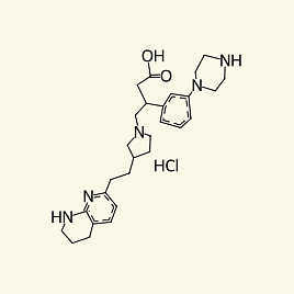 Cl.O=C(O)CC(CN1CCC(CCc2ccc3c(n2)NCCC3)C1)c1cccc(N2CCNCC2)c1